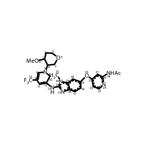 COC1CCOCC1N1C=C(C(F)(F)F)C=C(Nc2nc3ccc(Oc4ccnc(NC(C)=O)c4)cc3n2C)C1